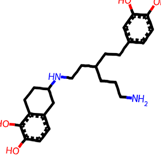 NCCCC(CCNC1CCc2c(ccc(O)c2O)C1)CCc1ccc(O)c(O)c1